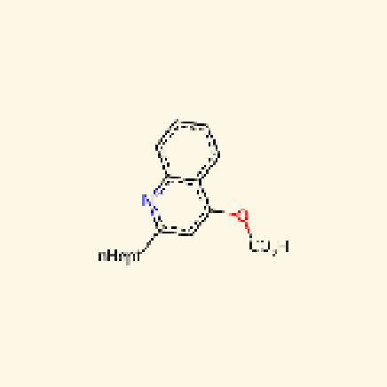 CCCCCCCc1cc(OC(=O)O)c2ccccc2n1